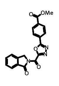 COC(=O)c1ccc(-c2nnc(C(=O)N3Cc4ccccc4C3=O)o2)cc1